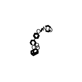 c1cc([C@@H]2CCC[C@]3(C2)OOC2(O3)C3CC4CC(C3)CC2C4)ccc1OCCN1CCCOCC1